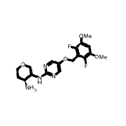 COc1cc(OC)c(F)c(COc2cnc(NC3COCC[C@@H]3N)nc2)c1F